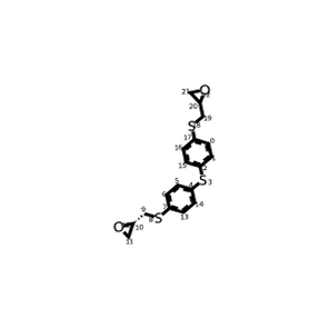 c1cc(Sc2ccc(SC[C@@H]3CO3)cc2)ccc1SCC1CO1